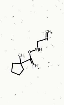 C=NCNOC(=C)C1(C)CCCC1